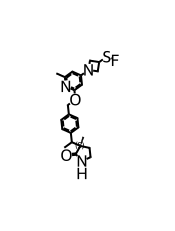 Cc1cc(N2CC(SF)C2)cc(OCc2ccc(C(C)[C@]3(C)CCNC3=O)cc2)n1